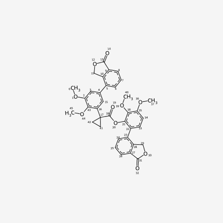 COc1[c]c(-c2cccc3c2COC3=O)cc(C2(C(=O)Oc3c(-c4cccc5c4COC5=O)ccc(OC)c3OC)CC2)c1OC